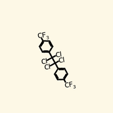 FC(F)(F)c1ccc(C(Cl)(Cl)C(Cl)(Cl)c2ccc(C(F)(F)F)cc2)cc1